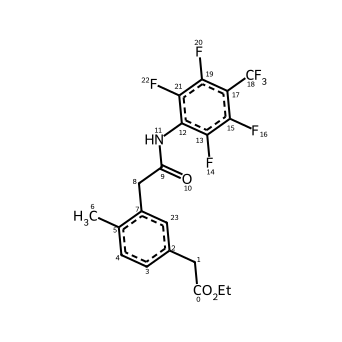 CCOC(=O)Cc1ccc(C)c(CC(=O)Nc2c(F)c(F)c(C(F)(F)F)c(F)c2F)c1